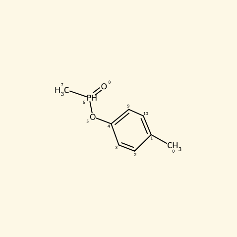 Cc1ccc(O[PH](C)=O)cc1